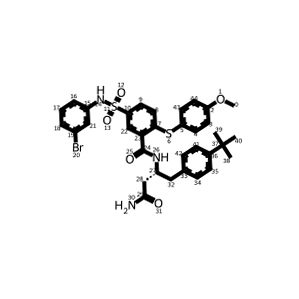 COc1ccc(Sc2ccc(S(=O)(=O)Nc3cccc(Br)c3)cc2C(=O)N[C@@H](CC(N)=O)Cc2ccc(C(C)(C)C)cc2)cc1